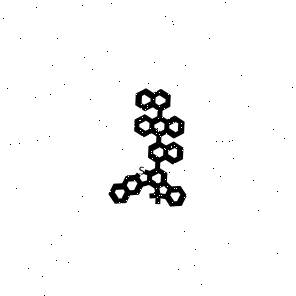 CC1(C)c2ccccc2-c2cc(-c3ccc(-c4c5ccccc5c(-c5cccc6ccccc56)c5ccccc45)c4ccccc34)c3sc4cc5ccccc5cc4c3c21